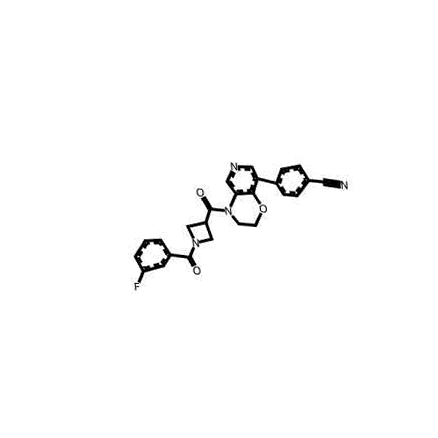 N#Cc1ccc(-c2cncc3c2OCCN3C(=O)C2CN(C(=O)c3cccc(F)c3)C2)cc1